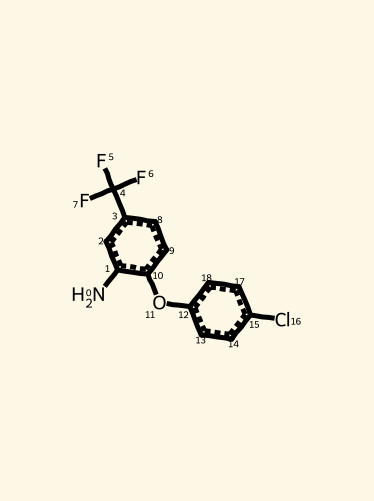 Nc1cc(C(F)(F)F)ccc1Oc1ccc(Cl)cc1